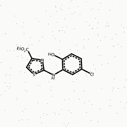 CCOC(=O)c1csc(Nc2cc(Cl)ccc2O)n1